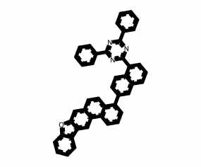 c1ccc(-c2nc(-c3ccccc3)nc(-c3cccc4cc(-c5cccc6c5ccc5cc7oc8ccccc8c7cc56)ccc34)n2)cc1